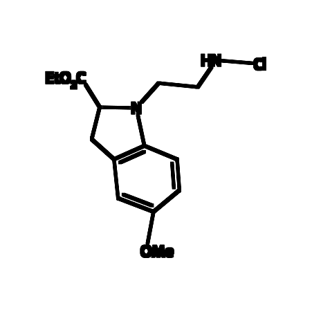 CCOC(=O)C1Cc2cc(OC)ccc2N1CCNCl